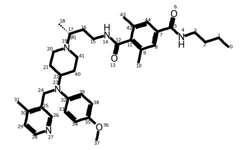 CCCCNC(=O)c1cc(C)c(C(=O)NCC[C@@H](C)N2CCC(N(Cc3cnccc3C)c3ccc(OC)cc3)CC2)c(C)c1